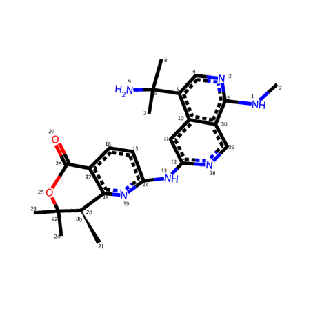 CNc1ncc(C(C)(C)N)c2cc(Nc3ccc4c(n3)[C@@H](C)C(C)(C)OC4=O)ncc12